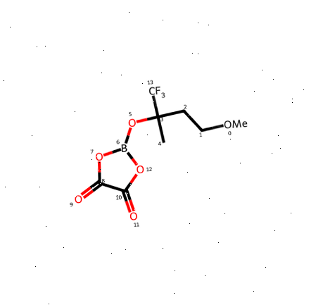 COCCC(C)(OB1OC(=O)C(=O)O1)C(F)(F)F